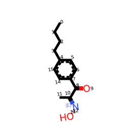 CCCCc1ccc(C(=O)/C(C)=N/O)cc1